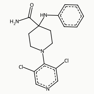 NC(=O)C1(Nc2ccccc2)CCN(c2c(Cl)cncc2Cl)CC1